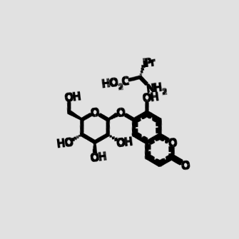 CC(C)[C@H](N)C(=O)O.O=c1ccc2cc(O[C@@H]3O[C@H](CO)[C@@H](O)[C@H](O)[C@H]3O)c(O)cc2o1